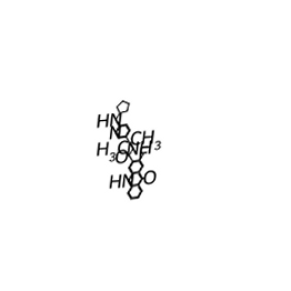 CC(C)(NC(=O)c1cc2[nH]c3ccccc3c(=O)c2cc1F)c1ccc(NC2CCCC2)nc1